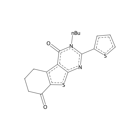 CCCCn1c(-c2cccs2)nc2sc3c(c2c1=O)CCCC3=O